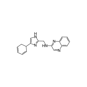 C1=CCC(c2c[nH]c(CNc3cnc4ccccc4n3)n2)C=C1